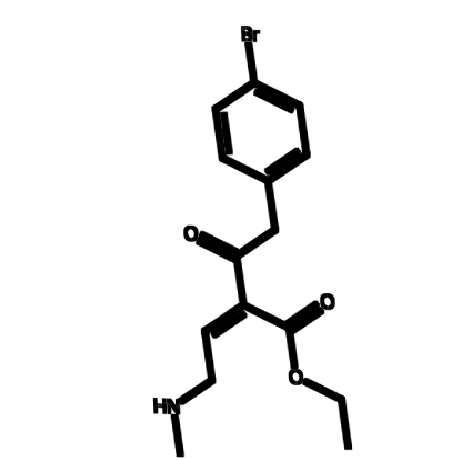 CCOC(=O)C(=CCNC)C(=O)Cc1ccc(Br)cc1